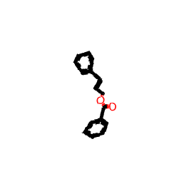 O=C(OCC=Cc1ccccc1)c1ccccc1